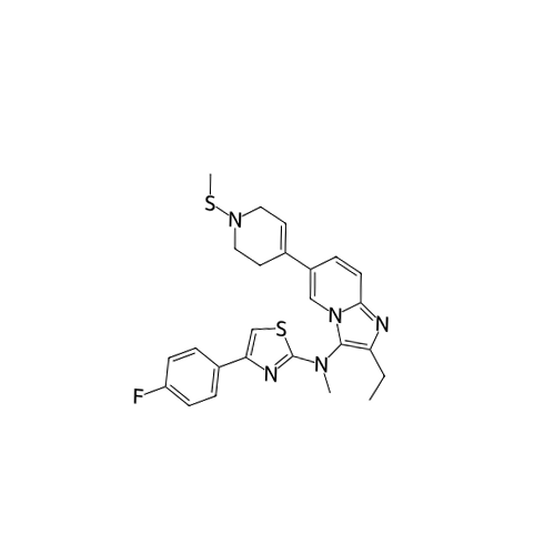 CCc1nc2ccc(C3=CCN(SC)CC3)cn2c1N(C)c1nc(-c2ccc(F)cc2)cs1